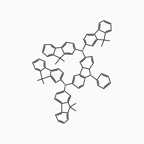 CC1(C)c2ccccc2-c2ccc(N(C3=CC4c5cc(N(c6ccc7c(c6)C(C)(C)c6ccccc6-7)c6ccc7c(c6)C(C)(C)c6ccccc6-7)ccc5N(c5ccccc5)C4C=C3)c3ccc4c(c3)C(C)(C)c3ccccc3-4)cc21